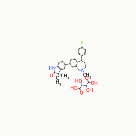 CN1CCC(c2ccc(F)cc2)c2ccc(-c3ccc4c(c3)C(C)(C)C(=O)N4)cc2C1.O=C(O)C(O)C(O)C(=O)O